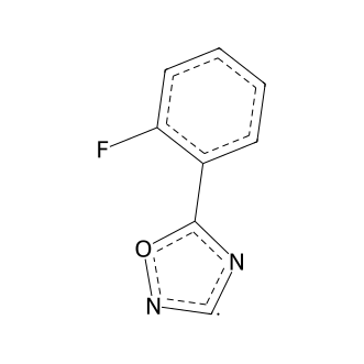 Fc1ccccc1-c1n[c]no1